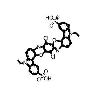 CCn1c2ccc(S(=O)(=O)O)cc2c2c3c(ccc21)N=c1c(Cl)c2c(c(Cl)c1O3)=Nc1ccc3c(c1O2)c1cc(S(=O)(=O)O)ccc1n3CC